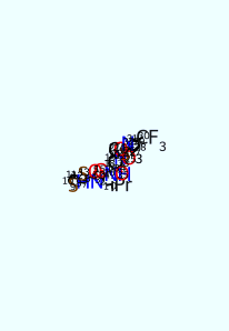 CC(C)C[C@H](NC(=O)c1cc2sccc2s1)C(=O)N[C@H]1CC[C@@H](C)N(S(=O)(=O)c2ccc(C(F)(F)F)cn2)CC1=O